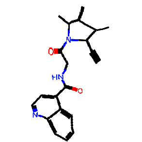 C#CC1C(C)C(C)C(C)N1C(=O)CNC(=O)c1ccnc2ccccc12